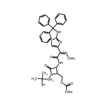 CO/N=C(\C(=O)NC1C(=O)N([SiH2]C(C)(C)C(C)C)C1COC(=O)OC)c1csc(NC(c2ccccc2)(c2ccccc2)c2ccccc2)n1